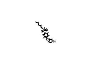 C1CCNC1.CCCCCOS(=O)(=O)c1ccc(O)cc1